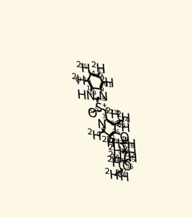 [2H]c1nc(C[S+]([O-])c2nc3c([2H])c([2H])c([2H])c([2H])c3[nH]2)c(C([2H])([2H])[2H])c(OC([2H])([2H])C([2H])([2H])C([2H])([2H])OC([2H])([2H])[2H])c1[2H]